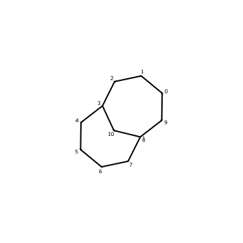 C1CCC2CCCC[C](C1)C2